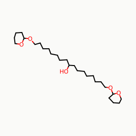 OC(CCCCCCCCOC1CCCCO1)CCCCCCCCOC1CCCCO1